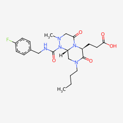 CCCCN1C[C@H]2N(C(=O)CN(C)N2C(=O)NCc2ccc(F)cc2)[C@@H](CCC(=O)O)C1=O